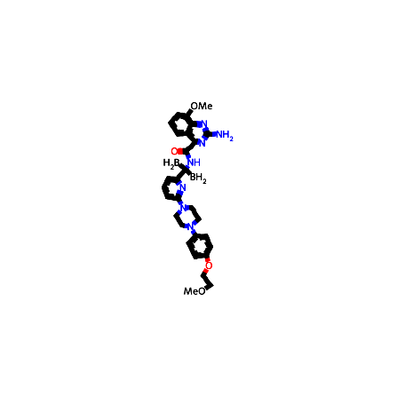 BC(B)(NC(=O)c1nc(N)nc2c(OC)cccc12)c1cccc(N2CCN(c3ccc(OCCOC)cc3)CC2)n1